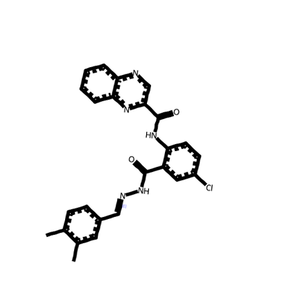 Cc1ccc(/C=N/NC(=O)c2cc(Cl)ccc2NC(=O)c2cnc3ccccc3n2)cc1C